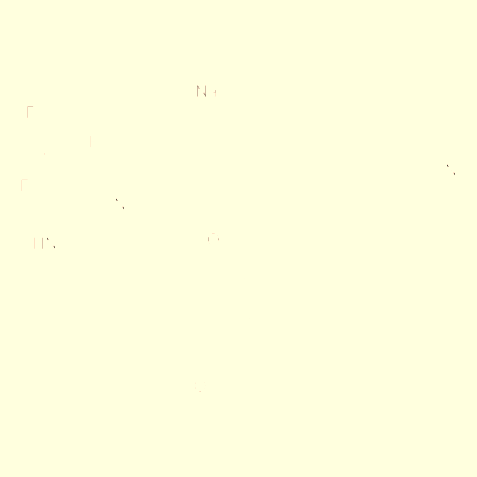 N#Cc1ccc(-c2cc(=O)c3ccc4[nH]c(C(F)(F)F)nc4c3o2)cc1.[Na]